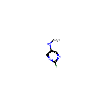 O=S(=O)(O)Nc1[c]nc(F)nc1